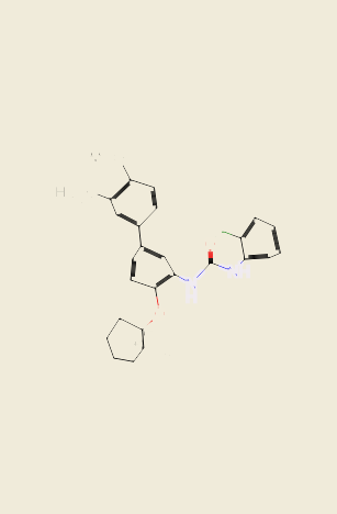 COc1ccc(-c2ccc(O[C@@H]3CCCC[C@H]3C)c(NC(=O)Nc3ccccc3Cl)c2)cc1C(=O)O